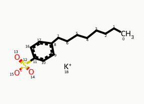 CCCCCCCCc1ccc(S(=O)(=O)[O-])cc1.[K+]